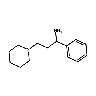 NC(CCN1CCCCC1)c1ccccc1